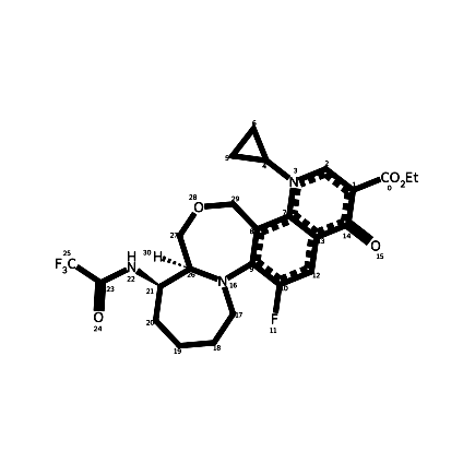 CCOC(=O)c1cn(C2CC2)c2c3c(c(F)cc2c1=O)N1CCCC[C@@H](NC(=O)C(F)(F)F)[C@H]1COC3